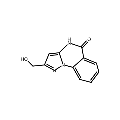 O=c1[nH]c2cc(CO)nn2c2ccccc12